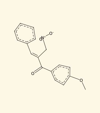 COc1ccc(C(=O)/C(=C/c2ccccc2)C[N+](=O)[O-])cc1